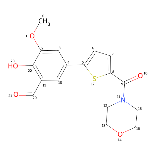 COc1cc(-c2ccc(C(=O)N3CCOCC3)s2)cc(C=O)c1O